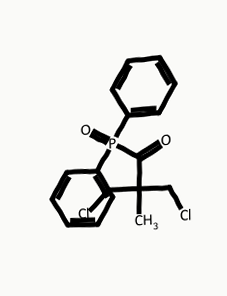 CC(CCl)(CCl)C(=O)P(=O)(c1ccccc1)c1ccccc1